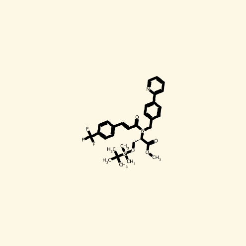 COC(=O)[C@H](CO[Si](C)(C)C(C)(C)C)N(Cc1ccc(-c2ccccn2)cc1)C(=O)C=Cc1ccc(C(F)(F)F)cc1